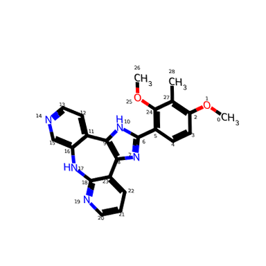 COc1ccc(-c2nc3c([nH]2)-c2ccncc2Nc2ncccc2-3)c(OC)c1C